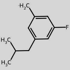 [CH2]c1cc(F)cc(CC(C)C)c1